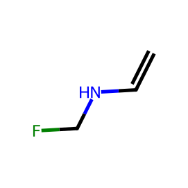 C=CNCF